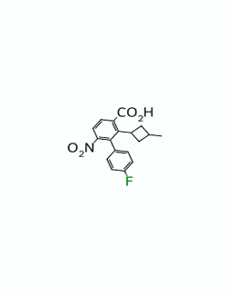 CC1CC(c2c(C(=O)O)ccc([N+](=O)[O-])c2-c2ccc(F)cc2)C1